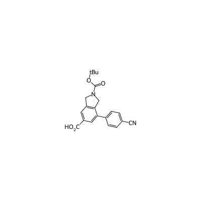 CC(C)(C)OC(=O)N1Cc2cc(C(=O)O)cc(-c3ccc(C#N)cc3)c2C1